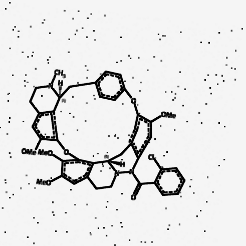 COc1cc2c3cc1Oc1ccc(cc1)C[C@H]1c4cc(c(OC)cc4CCN1C)Oc1c(OC)c(OC)cc4c1[C@H](C3)N(CC4)N2C(=O)c1ccccc1Cl